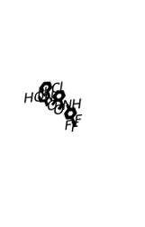 O=C(Nc1ccc(C(F)(F)F)cc1)c1cccc2c1OCC(CO)N2c1ncccc1Cl